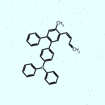 C=C/C=C\c1cc(-c2ccc(N(c3ccccc3)c3ccccc3)cc2)c(-c2ccccc2)cc1C